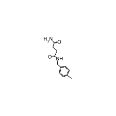 Cc1ccc(CNC(=O)CCC(N)=O)cc1